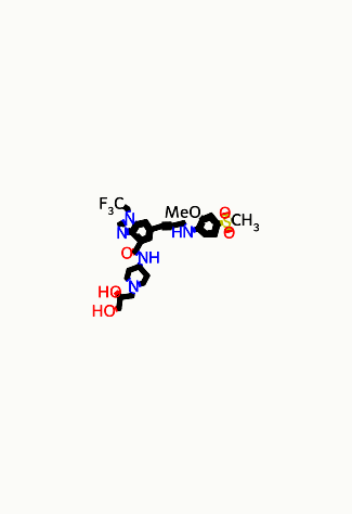 COc1cc(S(C)(=O)=O)ccc1NCC#Cc1cc(C(=O)NC2CCN(CC(O)CO)CC2)c2ncn(CC(F)(F)F)c2c1